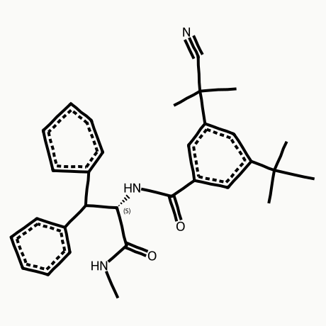 CNC(=O)[C@@H](NC(=O)c1cc(C(C)(C)C)cc(C(C)(C)C#N)c1)C(c1ccccc1)c1ccccc1